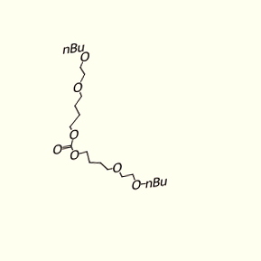 CCCCOCCOCCCCOC(=O)OCCCCOCCOCCCC